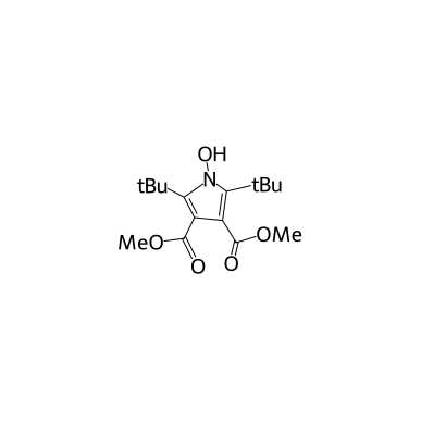 COC(=O)c1c(C(=O)OC)c(C(C)(C)C)n(O)c1C(C)(C)C